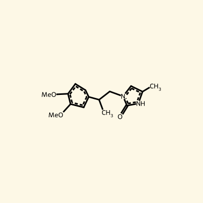 COc1ccc(C(C)Cn2cc(C)[nH]c2=O)cc1OC